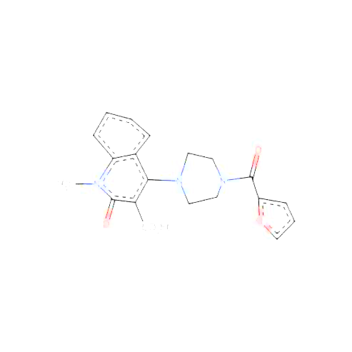 CCOC(=O)c1c(N2CCN(C(=O)c3ccco3)CC2)c2ccccc2n(C)c1=O